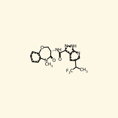 CC(c1cnc2[nH]nc(C(=O)N[C@H]3COc4ccccc4N(C)C3=O)c2c1)C(F)(F)F